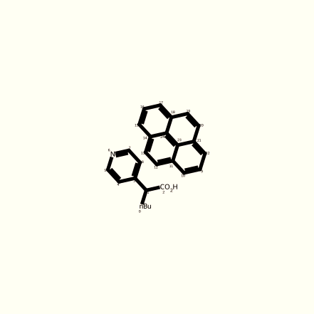 CCCCC(C(=O)O)c1ccncc1.c1cc2ccc3cccc4ccc(c1)c2c34